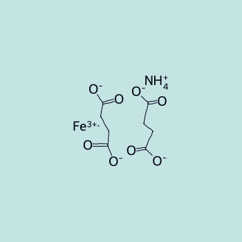 O=C([O-])CCC(=O)[O-].O=C([O-])CCC(=O)[O-].[Fe+3].[NH4+]